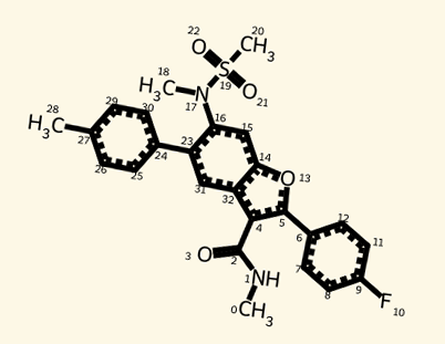 CNC(=O)c1c(-c2ccc(F)cc2)oc2cc(N(C)S(C)(=O)=O)c(-c3ccc(C)cc3)cc12